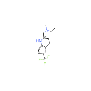 CCN(C)C[C@H]1CCc2cc(C(F)(F)F)ccc2N1